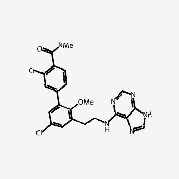 CNC(=O)c1ccc(-c2cc(Cl)cc(CCNc3ncnc4[nH]cnc34)c2OC)cc1Cl